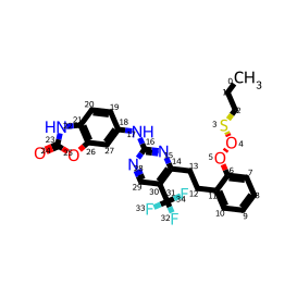 CCCSOOc1ccccc1CCc1nc(Nc2ccc3[nH]c(=O)oc3c2)ncc1C(F)(F)F